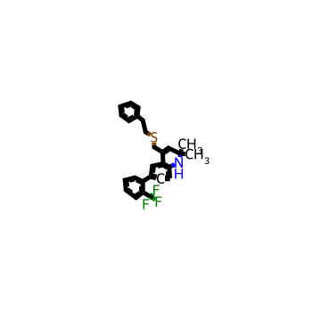 CC1(C)C=C(CSCCc2ccccc2)c2cc(-c3ccccc3C(F)(F)F)ccc2N1